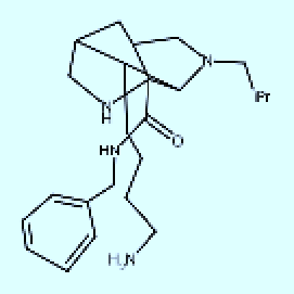 CC(C)CN1CC2CC3CNC2(C(=O)NCc2ccccc2)C1C3CCCCN